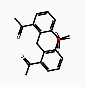 CC(=O)c1cccc(C(C)=O)c1Cc1c(C(C)=O)cccc1C(C)=O